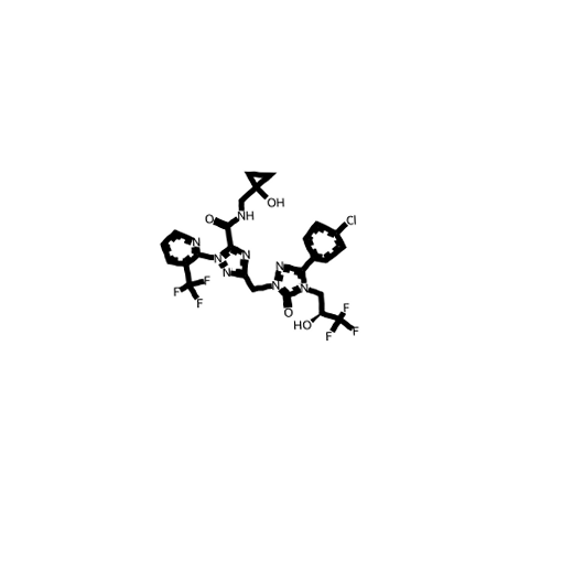 O=C(NCC1(O)CC1)c1nc(Cn2nc(-c3ccc(Cl)cc3)n(C[C@H](O)C(F)(F)F)c2=O)nn1-c1ncccc1C(F)(F)F